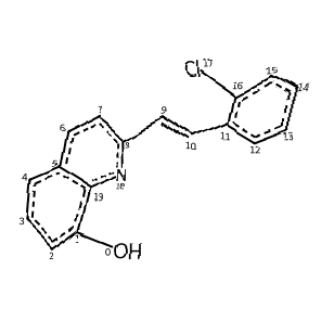 Oc1cccc2ccc(C=Cc3ccccc3Cl)nc12